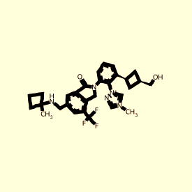 Cn1cn[n+](-c2c(N3Cc4c(cc(CNC5(C)CCC5)cc4C(F)(F)F)C3=O)cccc2[C@H]2C[C@@H](CO)C2)c1